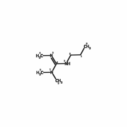 CCCNC(=NC)N(C)C